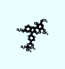 COc1cc(OC)c(Cl)c(-c2cc3cnc(SC)nc3n(C3CCN(C(=O)OC(C)(C)C)CC3)c2=O)c1Cl